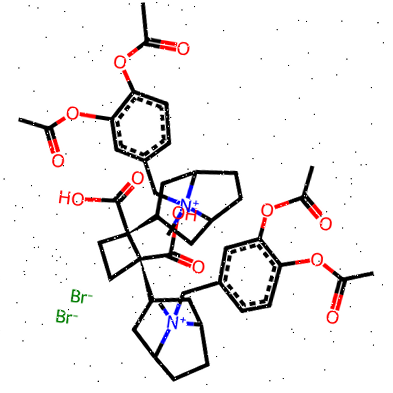 CC(=O)Oc1ccc(C[N+]2(C)C3CCC2CC([C@@]2(C(=O)O)CC[C@@]2(C(=O)O)C2CC4CCC(C2)[N+]4(C)Cc2ccc(OC(C)=O)c(OC(C)=O)c2)C3)cc1OC(C)=O.[Br-].[Br-]